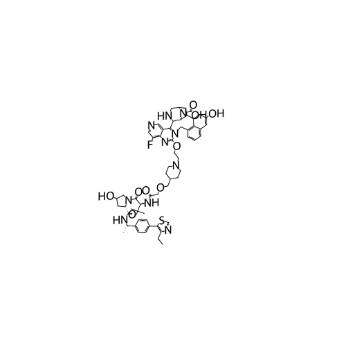 CCc1ncsc1-c1ccc([C@H](C)NC(=O)[C@@H]2C[C@@H](O)CN2C(=O)[C@@H](NC(=O)COCC2CCN(CCOc3nc(C4NCC5CC(c6cc(O)cc7cccc(CC)c67)C4N5C(=O)O)c4cncc(F)c4n3)CC2)C(C)(C)C)cc1